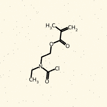 C=C(C)C(=O)OCCN(CC)C(=O)Cl